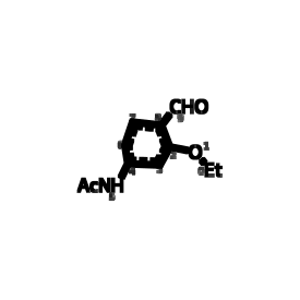 CCOc1cc(NC(C)=O)ccc1C=O